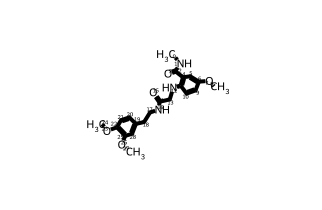 CNC(=O)c1cc(OC)ccc1NCC(=O)NCCc1ccc(OC)c(OC)c1